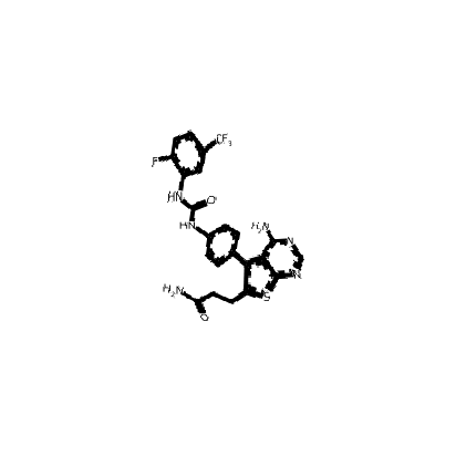 NC(=O)CCc1sc2ncnc(N)c2c1-c1ccc(NC(=O)Nc2cc(C(F)(F)F)ccc2F)cc1